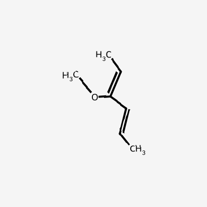 CC=CC(=CC)OC